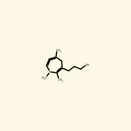 CC1=C=CN(C)C(C)=C(CCCS)C1